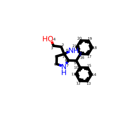 NC1(CCO)CCNC1C(c1ccccc1)c1ccccc1